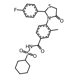 Cc1cc(C(=O)NS(=O)(=O)C2CCCCC2)ccc1N1C(=O)CSC1c1ccc(F)cc1